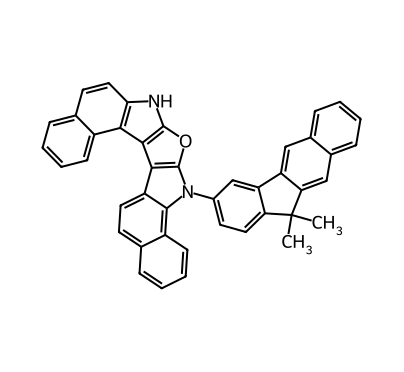 CC1(C)c2ccc(-n3c4oc5[nH]c6ccc7ccccc7c6c5c4c4ccc5ccccc5c43)cc2-c2cc3ccccc3cc21